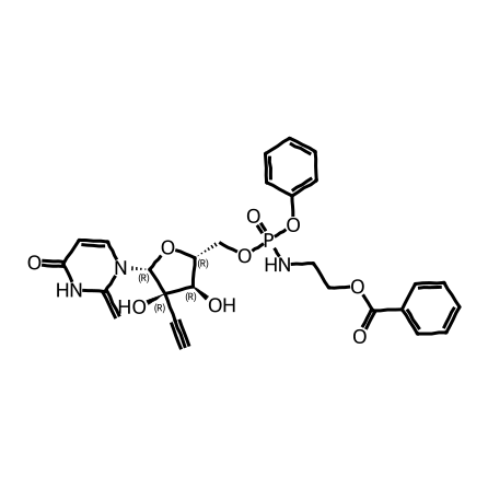 C#C[C@@]1(O)[C@H](O)[C@@H](COP(=O)(NCCOC(=O)c2ccccc2)Oc2ccccc2)O[C@H]1N1C=CC(=O)NC1=C